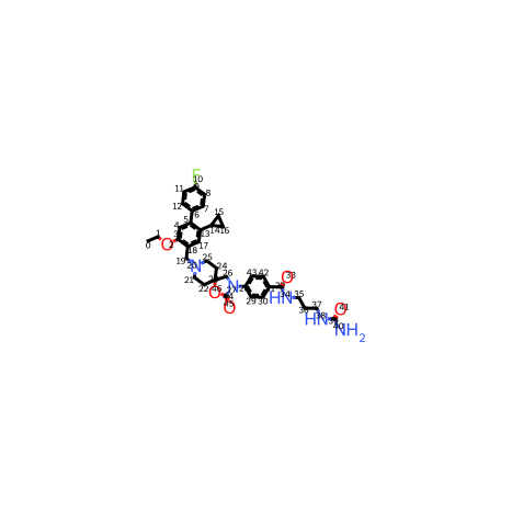 CCOc1cc(-c2ccc(F)cc2)c(C2CC2)cc1CN1CCC2(CC1)CN(c1ccc(C(=O)NCCCNC(N)=O)cc1)C(=O)O2